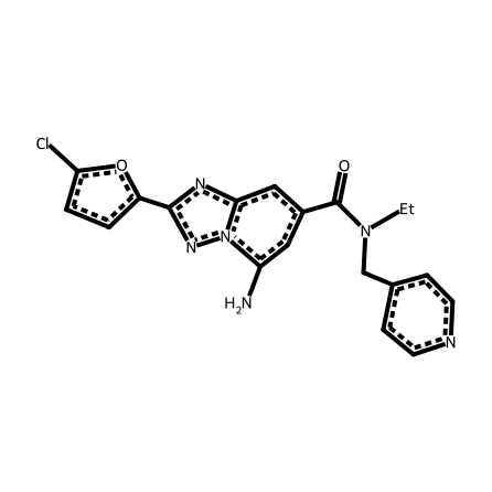 CCN(Cc1ccncc1)C(=O)c1cc(N)n2nc(-c3ccc(Cl)o3)nc2c1